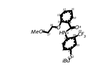 CCC(C)Sc1ccc(NC(=O)c2ccccc2OCCOC)c(C(F)(F)F)c1